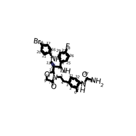 Cc1cc(CCN2C(=O)COC2/C(=C/Nc2ccc(Br)cc2)C(=N)c2ccc(F)cc2)ccc1NC(N)=O